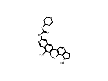 Cc1c(-c2cc3cc(NC(=O)OC4CCOCC4)ncc3c(N)c2F)cnc2c1[C@@H](O)CC2